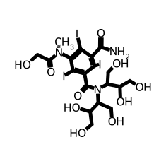 CN(C(=O)CO)c1c(I)c(C(N)=O)c(I)c(C(=O)N(C(CO)C(O)CO)C(CO)C(O)CO)c1I